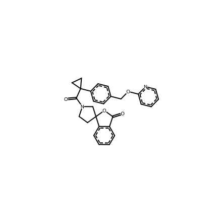 O=C1OC2(CCN(C(=O)C3(c4ccc(COc5ccccn5)cc4)CC3)C2)c2ccccc21